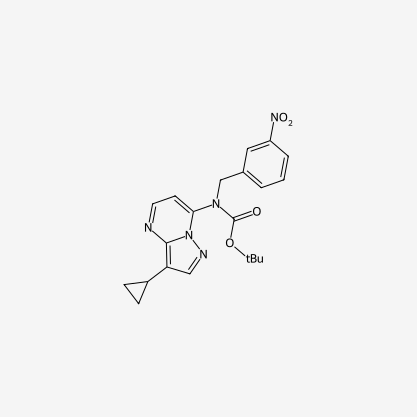 CC(C)(C)OC(=O)N(Cc1cccc([N+](=O)[O-])c1)c1ccnc2c(C3CC3)cnn12